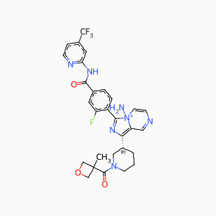 CC1(C(=O)N2CCC[C@@H](C3=C4C=NC=C[N+]4(N)C(c4ccc(C(=O)Nc5cc(C(F)(F)F)ccn5)cc4F)=N3)C2)COC1